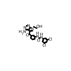 Nc1ncnc2c1c(C(=O)c1cccc(NC(=O)Nc3cc(Cl)cc(Cl)c3)c1)cn2CCO